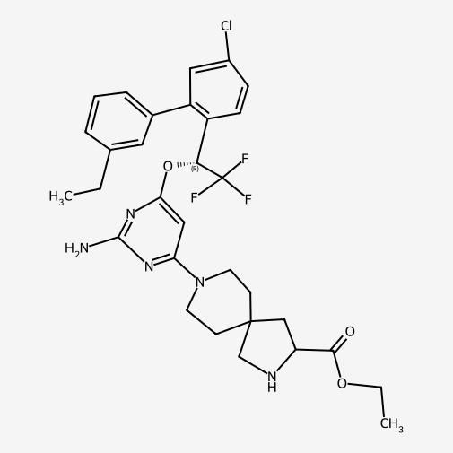 CCOC(=O)C1CC2(CCN(c3cc(O[C@H](c4ccc(Cl)cc4-c4cccc(CC)c4)C(F)(F)F)nc(N)n3)CC2)CN1